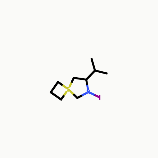 CC(C)C1CS2(CCC2)CN1I